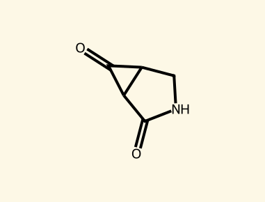 O=C1NCC2C(=O)C12